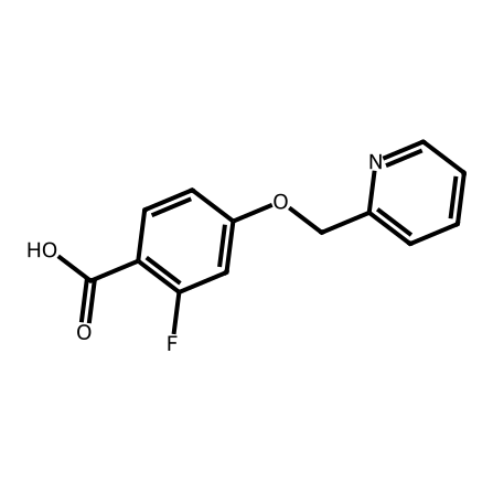 O=C(O)c1ccc(OCc2ccccn2)cc1F